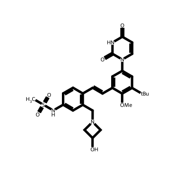 COc1c(/C=C/c2ccc(NS(C)(=O)=O)cc2CN2CC(O)C2)cc(-n2ccc(=O)[nH]c2=O)cc1C(C)(C)C